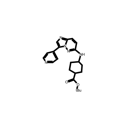 CC(C)(C)OC(=O)C1CCC(Nc2ccc3ncc(-c4ccncc4)n3n2)CC1